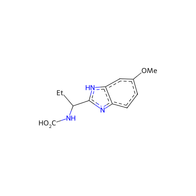 CCC(NC(=O)O)c1nc2ccc(OC)cc2[nH]1